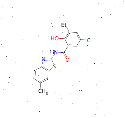 CCc1cc(Cl)cc(C(=O)Nc2nc3ccc(C)cc3s2)c1O